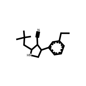 CCc1cccc(C2CNC(CC(C)(C)C)C2C#N)c1